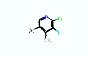 CC(=O)c1cnc(Cl)c(F)c1C